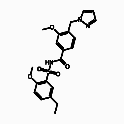 CCc1ccc(OC)c(S(=O)(=O)NC(=O)c2ccc(Cn3cccn3)c(OC)c2)c1